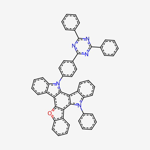 c1ccc(-c2nc(-c3ccccc3)nc(-c3ccc(-n4c5ccccc5c5c6oc7ccccc7c6c6c(c7ccccc7n6-c6ccccc6)c54)cc3)n2)cc1